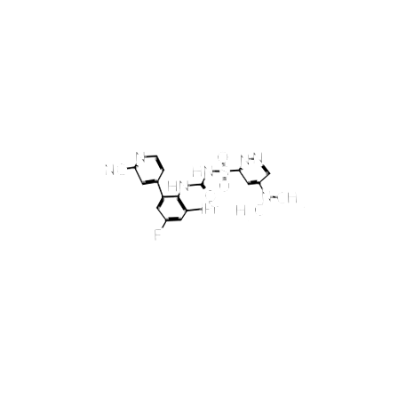 CC(C)c1cc(F)cc(-c2ccnc(C#N)c2)c1NC(=O)NS(=O)(=O)c1cc(N(C)C)cnn1